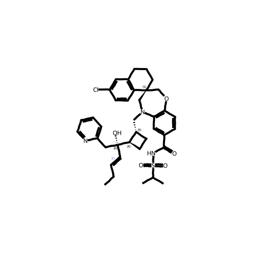 CC/C=C/[C@@](O)(Cc1ccccn1)[C@@H]1CC[C@H]1CN1C[C@@]2(CCCc3cc(Cl)ccc32)COc2ccc(C(=O)NS(=O)(=O)C(C)C)cc21